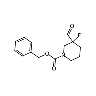 O=CC1(F)CCCN(C(=O)OCc2ccccc2)C1